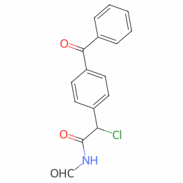 O=CNC(=O)C(Cl)c1ccc(C(=O)c2ccccc2)cc1